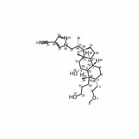 COCC[C@H]1CC[C@@H]2[C@H]([C@H](O)C[C@]3(C)[C@@H]([C@@H](C)Cn4cc(C#N)cn4)CC[C@@H]23)[C@@]1(C)CCCO